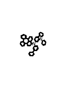 c1ccc(-c2cccc(N(c3ccc4c5ccccc5n(-c5ccccc5)c4c3)c3ccc4c5c(cccc35)-c3ccccc3-c3ccccc3-4)c2)cc1